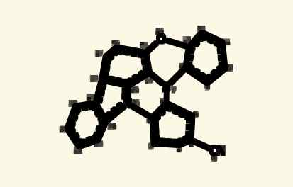 N#Cc1ccc2c(c1)B1c3ccccc3Oc3ccc4c5ccccc5n-2c4c31